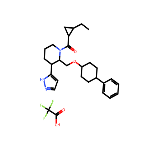 CCC1CC1C(=O)N1CCCC(c2ccn[nH]2)C1COC1CCC(c2ccccc2)CC1.O=C(O)C(F)(F)F